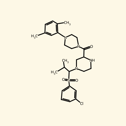 Cc1ccc(C)c(N2CCN(C(=O)C3CN(C(C(C)C)S(=O)(=O)c4cccc(Cl)c4)CCN3)CC2)c1